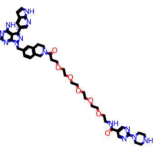 Nc1ncnc2c1c(-c1cnc3[nH]ccc3c1)nn2Cc1ccc2c(c1)CCN(C(=O)CCOCCOCCOCCOCCOCCNC(=O)c1cnc(N3CCNCC3)nc1)C2